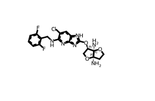 N[C@@]12CCO[C@]1(N)[C@H](Oc1nc3nc(NCc4c(F)cccc4F)c(Cl)cc3[nH]1)CO2